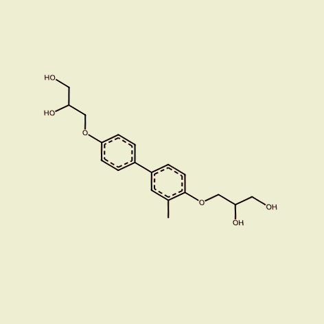 Cc1cc(-c2ccc(OCC(O)CO)cc2)ccc1OCC(O)CO